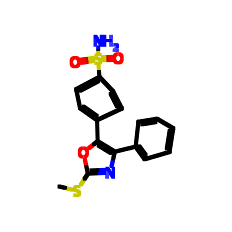 CSc1nc(-c2ccccc2)c(-c2ccc(S(N)(=O)=O)cc2)o1